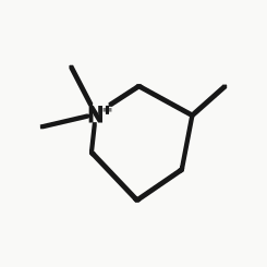 CC1CCC[N+](C)(C)C1